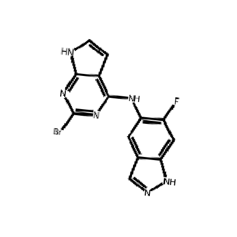 Fc1cc2[nH]ncc2cc1Nc1nc(Br)nc2[nH]ccc12